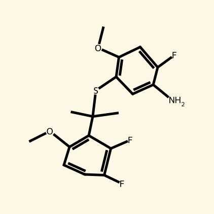 COc1cc(F)c(N)cc1SC(C)(C)c1c(OC)ccc(F)c1F